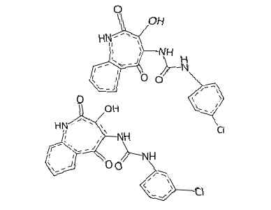 O=C(Nc1ccc(Cl)cc1)Nc1c(O)c(=O)[nH]c2ccccc2c1=O.O=C(Nc1cccc(Cl)c1)Nc1c(O)c(=O)[nH]c2ccccc2c1=O